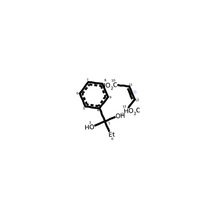 CCC(O)(O)c1ccccc1.O=C(O)/C=C\C(=O)O